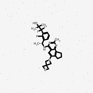 Cc1nc(N[C@H](C)c2cccc(C(F)(F)C(C)(C)O)c2F)c2cc(N3CC4(COC4)C3)c3c(c2n1)CCC3